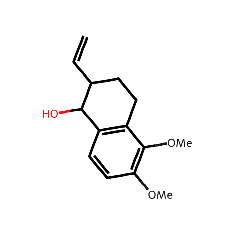 C=CC1CCc2c(ccc(OC)c2OC)C1O